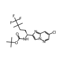 CC(C)(C)OC(=O)N[C@@H](CCC(C)(C)C(F)(F)F)c1cn2ncc(Cl)cc2n1